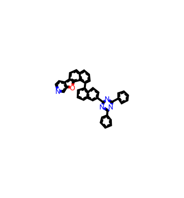 c1ccc(-c2nc(-c3ccccc3)nc(-c3ccc4c(-c5cccc6ccc7c8ccncc8oc7c56)cccc4c3)n2)cc1